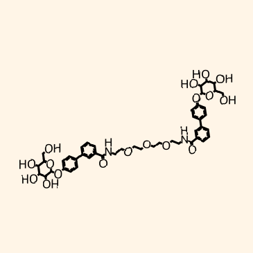 O=C(NCCOCCOCCOCCNC(=O)c1cccc(-c2ccc(OC3OC(CO)C(O)C(O)C3O)cc2)c1)c1cccc(-c2ccc(OC3OC(CO)C(O)C(O)C3O)cc2)c1